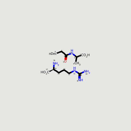 CCCCCCCCCCCC(=O)NC(C)C(=O)O.N=C(N)NCCC[C@H](N)C(=O)O